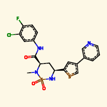 CN1[C@@H](C(=O)Nc2ccc(F)c(Cl)c2)C[C@@H](c2cc(-c3cccnc3)cs2)NS1(=O)=O